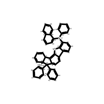 C1=CC2c3c(ccc4c3oc3c(N(c5ccccc5)c5cccc6ccccc56)cccc34)C(c3ccccc3)(c3ccccc3)[C@@H]2C=C1